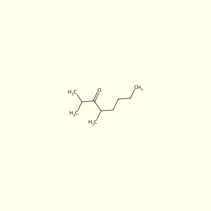 CCCCC(C)C(=O)C(C)C